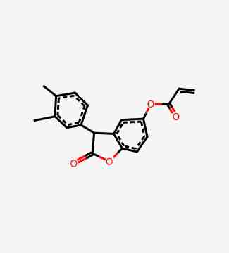 C=CC(=O)Oc1ccc2c(c1)C(c1ccc(C)c(C)c1)C(=O)O2